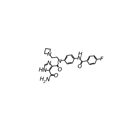 NC(=O)c1[nH]cnc1C(=O)N(CCN1CCC1)c1ccc(NC(=O)c2ccc(F)cc2)cc1